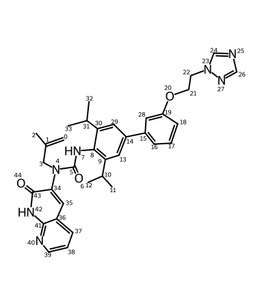 C=C(C)CN(C(=O)Nc1c(C(C)C)cc(-c2cccc(OCCn3cncn3)c2)cc1C(C)C)c1cc2cccnc2[nH]c1=O